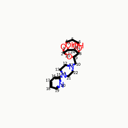 OC1C2OCCCOC(C(CN3CCN(c4ccccn4)CC3)O2)C1O